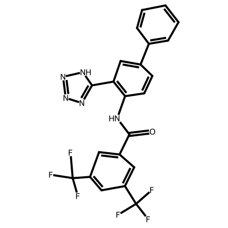 O=C(Nc1ccc(-c2ccccc2)cc1-c1nnn[nH]1)c1cc(C(F)(F)F)cc(C(F)(F)F)c1